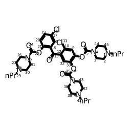 CCCN1CCN(C(=O)Oc2cc(Cl)c(C(=O)c3cc(Cl)ccc3OC(=O)N3CCN(CCC)CC3)cc2OC(=O)N2CCN(CCC)CC2)CC1